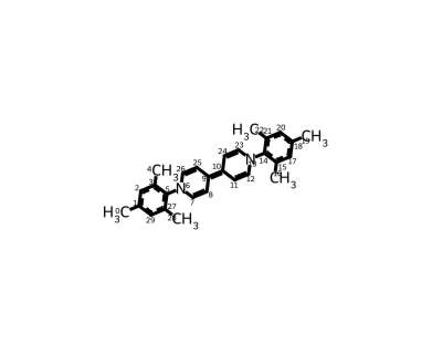 Cc1cc(C)c(N2C=CC(=C3C=CN(c4c(C)cc(C)cc4C)C=C3)C=C2)c(C)c1